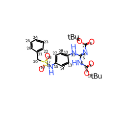 CC(C)(C)OC(=O)N=C(NC(=O)OC(C)(C)C)Nc1c[c]c(NS(=O)(=O)Cc2ccccc2)cc1